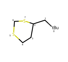 CC(C)(C)CC1CCSCS1